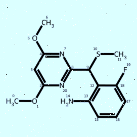 COc1cc(OC)nc(C(SC)c2c(N)cccc2F)n1